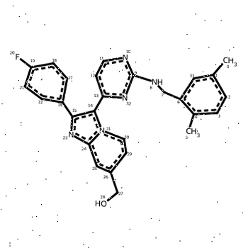 Cc1ccc(C)c(CNc2nccc(-c3c(-c4ccc(F)cc4)nc4cc(CO)ccn34)n2)c1